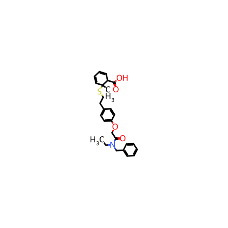 CCN(Cc1ccccc1)C(=O)COc1ccc(CCSC2(C)C=CC=CC2C(=O)O)cc1